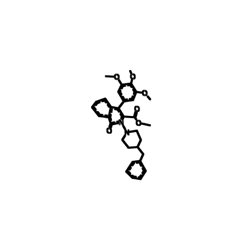 COC(=O)c1c(-c2cc(OC)c(OC)c(OC)c2)c2ccccc2c(=O)n1N1CCC(Cc2ccccc2)CC1